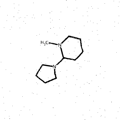 CN1CCCC[C]1N1CCCC1